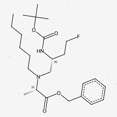 CCCCCCN(C[C@@H](CCF)NC(=O)OC(C)(C)C)[C@@H](C)C(=O)OCc1ccccc1